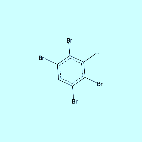 [CH2]c1c(Br)c(Br)cc(Br)c1Br